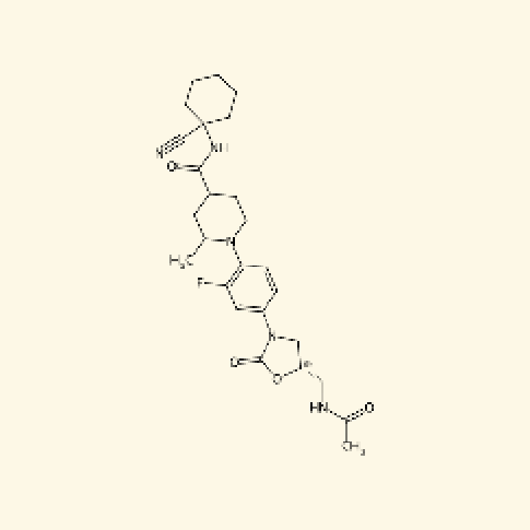 CC(=O)NC[C@H]1CN(c2ccc(N3CCC(C(=O)NC4(C#N)CCCCC4)CC3C)c(F)c2)C(=O)O1